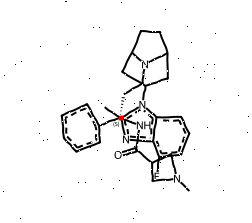 Cc1nc2c(F)cccc2n1C1CC2CCC(C1)N2CC[C@H](NC(=O)C1CN(C)C1)c1ccccc1